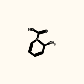 C[C@H]1C=CC=CN1C(=O)O